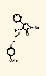 COc1ccc(OCCCNc2c(-c3ccccc3)sn(C(C)(C)C)c2=O)cc1